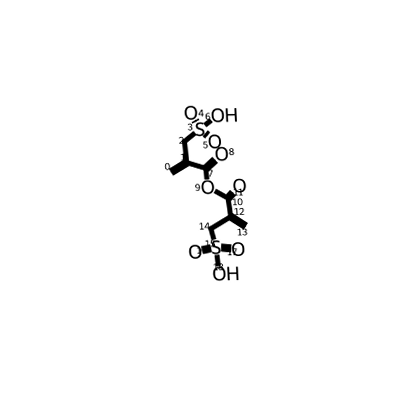 C=C(CS(=O)(=O)O)C(=O)OC(=O)C(=C)CS(=O)(=O)O